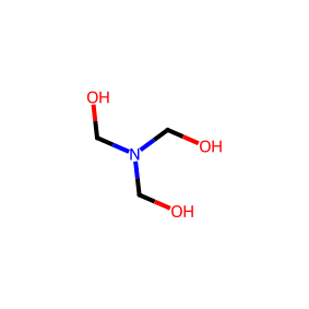 OCN(CO)CO